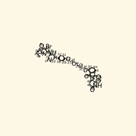 CN1C[C@H](Nc2nc3sccn3c(=O)c2Br)C[C@H](c2ccc(OCCOCCOCCOc3cccc4c3C(=O)N(C3CCC(=O)NC3=O)C4=O)cc2)C1